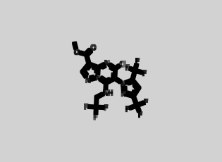 COC(=O)c1cnn2c(NCC(F)(F)F)c(-n3nc(C(F)(F)F)cc3C(F)(F)F)c(Cl)nc12